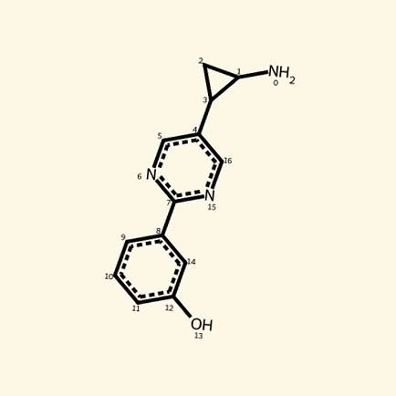 NC1CC1c1cnc(-c2cccc(O)c2)nc1